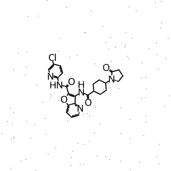 O=C(Nc1ccc(Cl)cn1)c1oc2cccnc2c1NC(=O)C1CCC(N2CCCC2=O)CC1